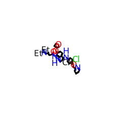 CCN(CC)C/C=C/C(=O)Nc1c(O[C@H]2CCOC2)ccc2c(Nc3ccc(OCc4ccccn4)c(Cl)c3)c(C#N)cnc12